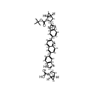 CC(C)(C)OC(=O)N1[C@@H]2C[C@@H]2C[C@H]1c1nc2ccc(-c3ccc4cc(-c5ccc6[nH]c([C@@H]7C[C@H]8C[C@H]8N7C(=O)O)nc6c5)ccc4n3)cc2[nH]1